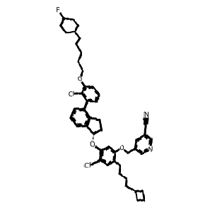 N#Cc1cncc(COc2cc(O[C@H]3CCc4c(-c5cccc(OCCCCCC6CCC(F)CC6)c5Cl)cccc43)c(Cl)cc2CCCCC2CCC2)c1